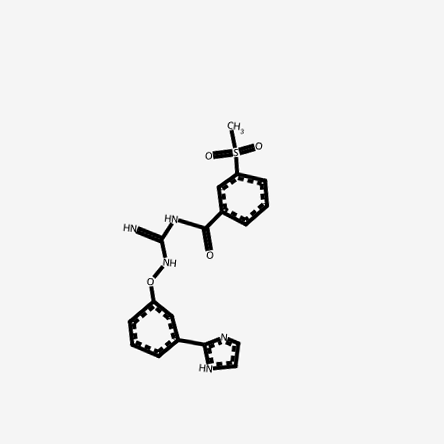 CS(=O)(=O)c1cccc(C(=O)NC(=N)NOc2cccc(-c3ncc[nH]3)c2)c1